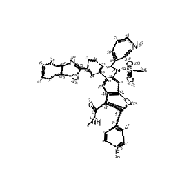 CNC(=O)c1c(-c2ccc(F)cc2)oc2cc(N(Cc3cccnc3)S(C)(=O)=O)c(-c3cccc(-c4nc5ncccc5o4)c3)cc12